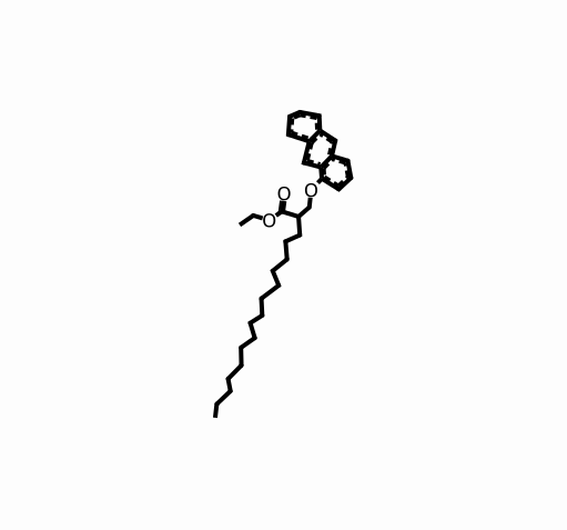 CCCCCCCCCCCCCCCC(COc1cccc2cc3ccccc3cc12)C(=O)OCC